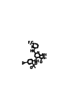 Cn1[nH]c2nc(Nc3cccc(C(F)(F)F)n3)cc(Nc3ccc(C4CC4)cc3S(C)(=O)=O)c2c1=O